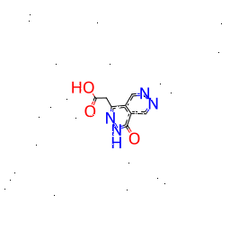 O=C(O)Cc1n[nH]c(=O)c2cnncc12